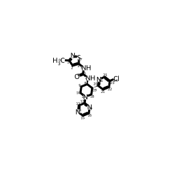 Cc1cc(NC(=O)N[C@@H]2CCN(c3cnccn3)C[C@H]2c2ccc(Cl)cn2)sn1